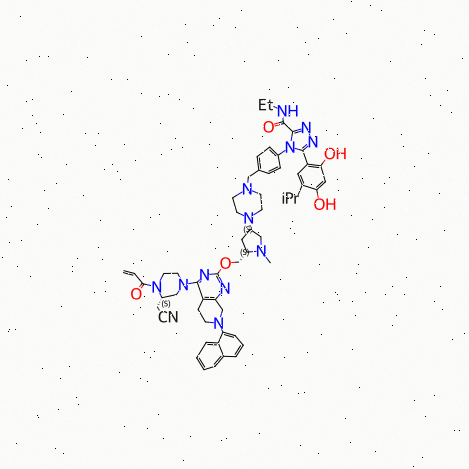 C=CC(=O)N1CCN(c2nc(OC[C@@H]3C[C@H](N4CCN(Cc5ccc(-n6c(C(=O)NCC)nnc6-c6cc(C(C)C)c(O)cc6O)cc5)CC4)CN3C)nc3c2CCN(c2cccc4ccccc24)C3)C[C@@H]1CC#N